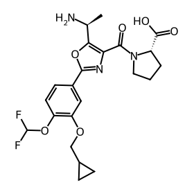 C[C@H](N)c1oc(-c2ccc(OC(F)F)c(OCC3CC3)c2)nc1C(=O)N1CCC[C@H]1C(=O)O